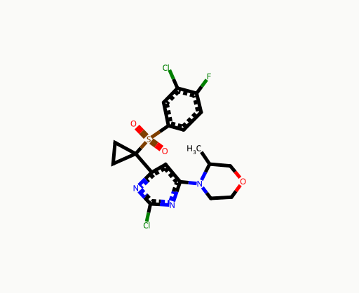 CC1COCCN1c1cc(C2(S(=O)(=O)c3ccc(F)c(Cl)c3)CC2)nc(Cl)n1